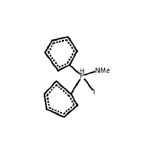 CN[PH](I)(c1ccccc1)c1ccccc1